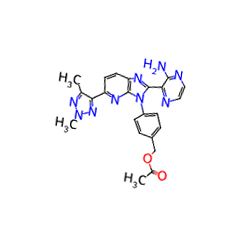 CC(=O)OCc1ccc(-n2c(-c3nccnc3N)nc3ccc(-c4nn(C)nc4C)nc32)cc1